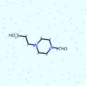 O=CN1CCN(CCS(=O)(=O)O)CC1